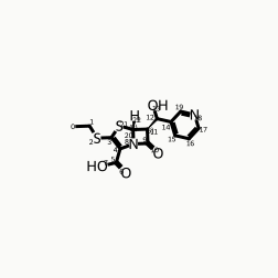 CCSC1=C(C(=O)O)N2C(=O)[C@H](C(O)c3cccnc3)[C@H]2S1